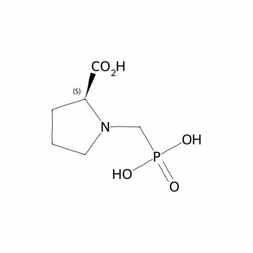 O=C(O)[C@@H]1CCCN1CP(=O)(O)O